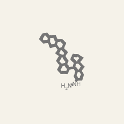 NNc1ccc2cc3ccccc3c(-c3cccc4cc5cc6c(ccc7cc8ccccc8cc76)cc5cc34)c2c1